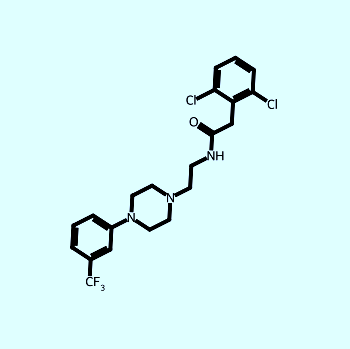 O=C(Cc1c(Cl)cccc1Cl)NCCN1CCN(c2cccc(C(F)(F)F)c2)CC1